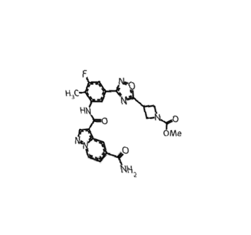 COC(=O)N1CC(c2nc(-c3cc(F)c(C)c(NC(=O)c4cnn5ccc(C(N)=O)cc45)c3)no2)C1